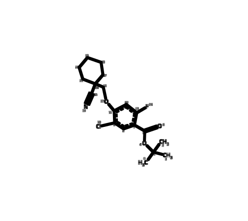 CC(C)(C)OC(=O)c1cc(Cl)c(OCC2(C#N)CCCCC2)cc1F